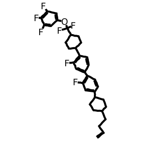 C=CCCC1CCC(c2ccc(-c3ccc(C4CCC(C(F)(F)Oc5cc(F)c(F)c(F)c5)CC4)c(F)c3)c(F)c2)CC1